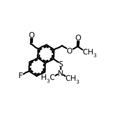 CC(=O)OCc1cc(C=O)c2cc(F)ccc2c1SN(C)C